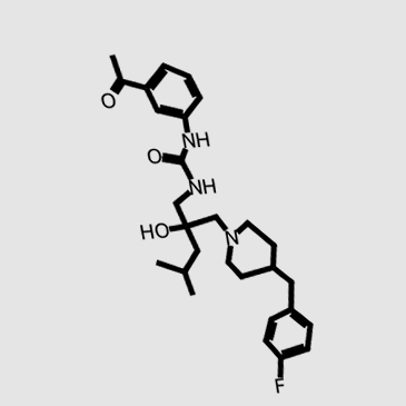 CC(=O)c1cccc(NC(=O)NCC(O)(CC(C)C)CN2CCC(Cc3ccc(F)cc3)CC2)c1